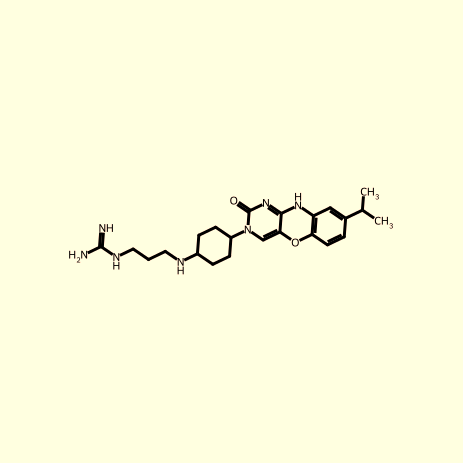 CC(C)c1ccc2c(c1)Nc1nc(=O)n(C3CCC(NCCCNC(=N)N)CC3)cc1O2